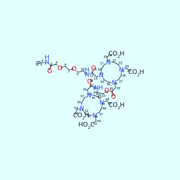 CC(C)NC(=O)COCCOCCNC(=O)CN1CCN(CC(=O)O)CCN(CC(=O)O)CCN(CC(=O)OCC(C)NC(=O)CN2CCN(CC(=O)O)CCN(CC(=O)O)CCN(CC(=O)O)CC2)CC1